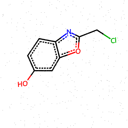 Oc1ccc2nc(CCl)oc2c1